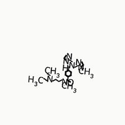 CCCN(CCC)CCCCN(C)C(=O)c1ccc(CN(Cc2ncc[nH]2)Cc2nccn2C)cc1